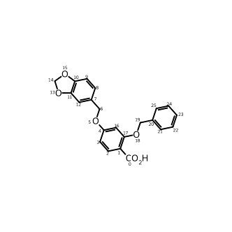 O=C(O)c1ccc(OCc2ccc3c(c2)OCO3)cc1OCc1ccccc1